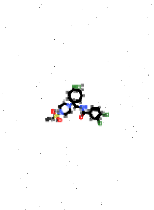 CCCS(=O)(=O)N1CCN(C2(CNC(=O)c3ccc(Cl)c(Cl)c3)CCCCCC2)CC1.Cl